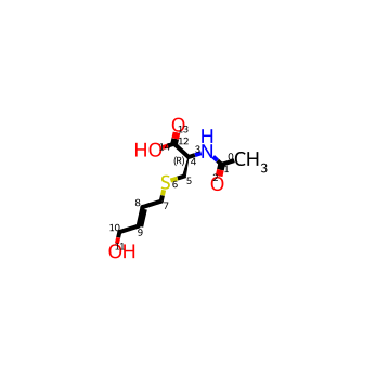 CC(=O)N[C@@H](CSCC=CCO)C(=O)O